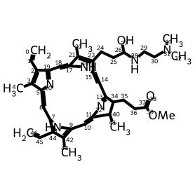 C=CC1=C(C)c2cc3[nH]c(cc4nc(cc5[nH]c(cc1n2)c(C)c5CCC(O)NCCN(C)C)C(CCC(=O)OC)C4C)c(C)c3C=C